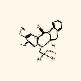 COc1cc2c(cc1O)N(CC(C)(C)S)C[C@@H]1Cc3ccccc3N1C2=O